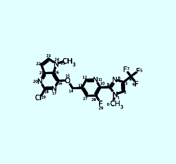 Cn1cc(C(F)(F)F)nc1-c1ncc(COc2nc(Cl)nc3ccn(C)c23)cc1F